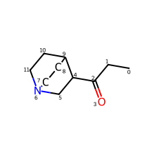 CCC(=O)C1CN2CCC1CC2